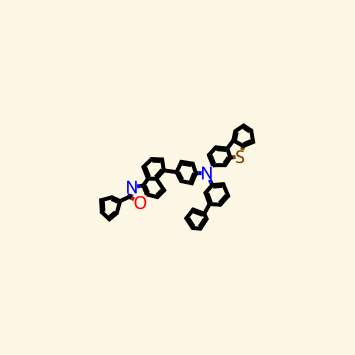 c1ccc(-c2cccc(N(c3ccc(-c4cccc5c4ccc4oc(-c6ccccc6)nc45)cc3)c3ccc4c(c3)sc3ccccc34)c2)cc1